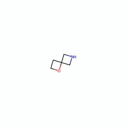 C1CC2(CNC2)O1